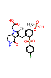 CS(=O)(=O)O.Cc1c(Cc2ccccc2S(=O)(=O)c2ccc(F)cc2)c2c(n1CC(=O)O)CCNC2=O